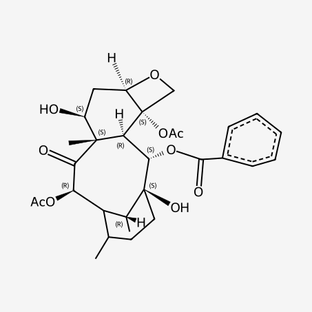 CC(=O)O[C@H]1C(=O)[C@@]2(C)[C@H]([C@H](OC(=O)c3ccccc3)[C@]3(O)CCC(C)C1[C@H]3C)[C@]1(OC(C)=O)CO[C@@H]1C[C@@H]2O